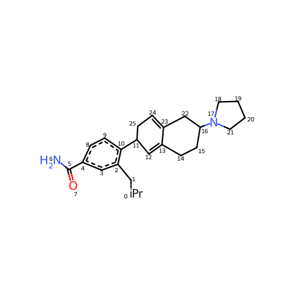 CC(C)Cc1cc(C(N)=O)ccc1C1C=C2CCC(N3CCCC3)CC2=CC1